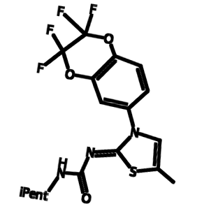 CCCC(C)NC(=O)N=c1sc(C)cn1-c1ccc2c(c1)OC(F)(F)C(F)(F)O2